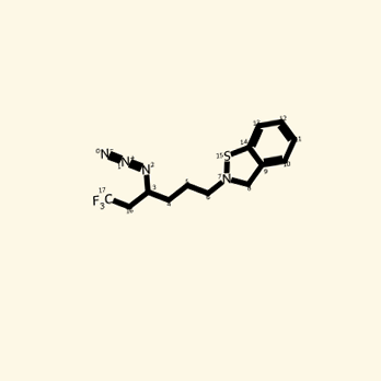 [N-]=[N+]=NC(CCCN1Cc2ccccc2S1)CC(F)(F)F